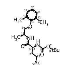 CC(=O)CC[C@H](NC(=O)OC(C)(C)C)C(=O)NC(C)COc1c(C)cccc1C